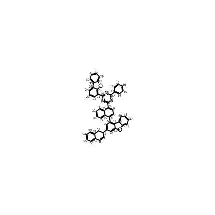 C1=CC(c2cc(-c3ccc(-c4nc(-c5ccccc5)nc(-c5cccc6c5oc5ccccc56)n4)c4ccccc34)c3c(c2)oc2ccccc23)Cc2ccccc21